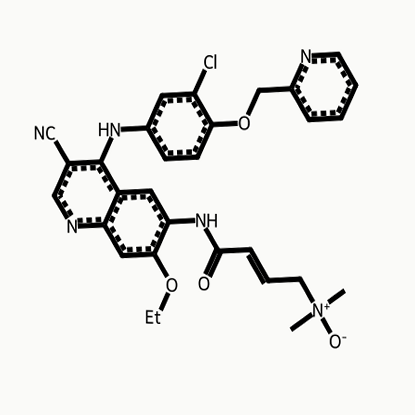 CCOc1cc2ncc(C#N)c(Nc3ccc(OCc4ccccn4)c(Cl)c3)c2cc1NC(=O)C=CC[N+](C)(C)[O-]